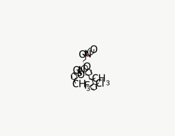 C/C(=C\c1ccc2c(c1)N(S(=O)(=O)c1cccc(C)c1)C[C@H](CCC(=O)N1C3CCC1COC3)O2)c1c(F)cccc1Cl